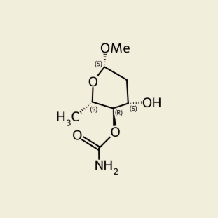 CO[C@@H]1C[C@H](O)[C@@H](OC(N)=O)[C@H](C)O1